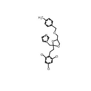 Cc1ccc(COCC2COC(CCc3c(Cl)cc(Cl)cc3Cl)(Cn3ccnc3)O2)cc1